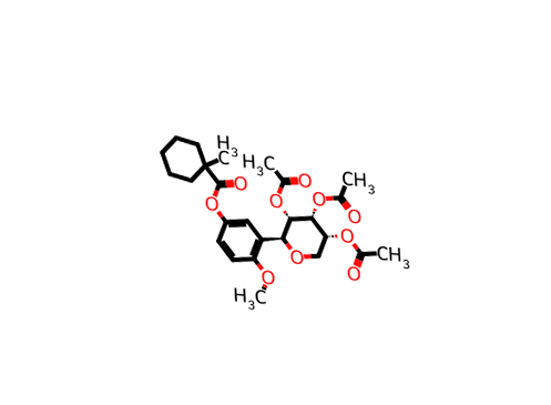 COc1ccc(OC(=O)C2(C)CCCCC2)cc1[C@@H]1OC[C@@H](OC(C)=O)[C@@H](OC(C)=O)[C@H]1OC(C)=O